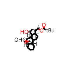 C[C@H](OC(=O)C(C)(C)C)[C@H]1C[C@@H](O)[C@@H]2[C@@H]3CC[C@H]4CCCC[C@]4(COC=O)[C@H]3CC[C@@]21C